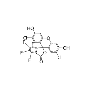 O=C1OC2(c3cc(Cl)c(O)cc3Oc3cc(O)c(Cl)cc32)c2c(F)c(F)c(F)c(F)c21